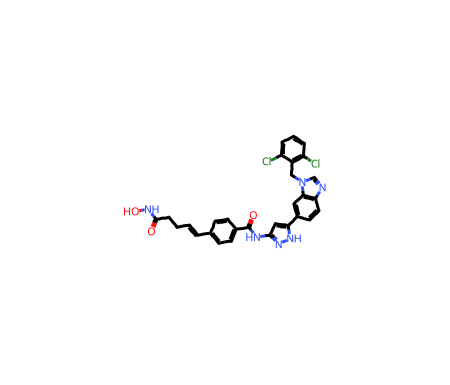 O=C(CCC=Cc1ccc(C(=O)Nc2cc(-c3ccc4ncn(Cc5c(Cl)cccc5Cl)c4c3)[nH]n2)cc1)NO